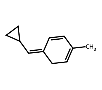 CC1=CCC(=CC2CC2)C=C1